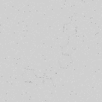 COc1ccc(-c2nc3cc(C(C)(C)C(N)S(=O)(=O)c4ccccc4)ccc3[nH]2)cc1